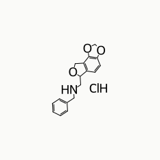 Cl.c1ccc(CNCC2OCc3c2ccc2c3OCO2)cc1